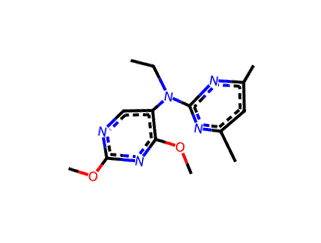 CCN(c1nc(C)cc(C)n1)c1cnc(OC)nc1OC